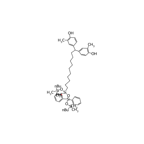 CCCC[Si](C)(C)O[Si](C)(CCCCCCCCCCC(c1ccc(O)c(C)c1)c1ccc(O)c(C)c1)O[Si](O[Si](C)(C)CCCC)(c1ccccc1)c1ccccc1